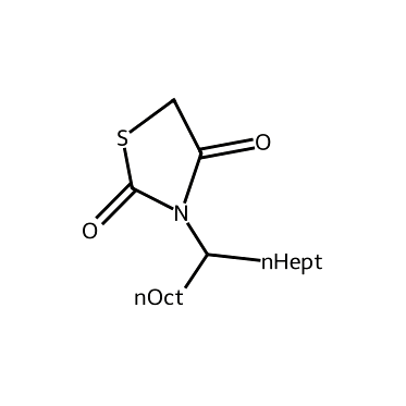 CCCCCCCCC(CCCCCCC)N1C(=O)CSC1=O